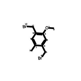 COc1cc(CBr)c(C)cc1CBr